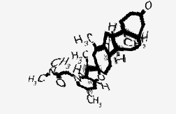 CC1=C2C[C@H]3[C@@H](CC[C@@H]4CC(=O)CC[C@@]43C)[C@@H]2CC[C@@]2(C1)O[C@@H]1C[C@H](C)CN(CC(=O)N(C)C)[C@H]1[C@H]2C